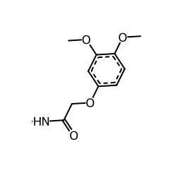 COc1ccc(OCC([NH])=O)cc1OC